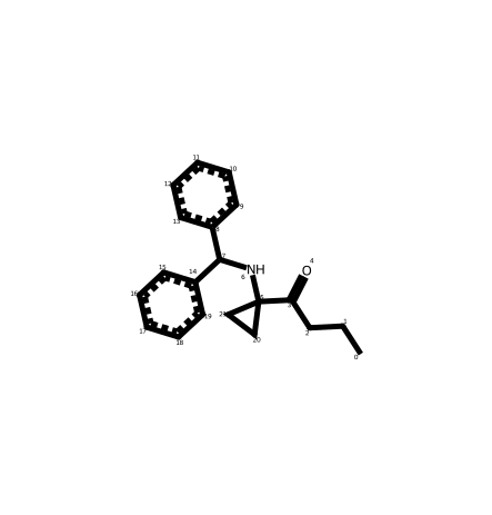 CCCC(=O)C1(NC(c2ccccc2)c2ccccc2)CC1